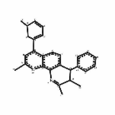 CC1=Nc2c(ccc3c(C4=CC=CC(C)C4)cc(C)nc23)C(c2ccccc2)C1C